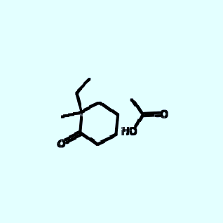 CC(=O)O.CCC1(C)CCCCC1=O